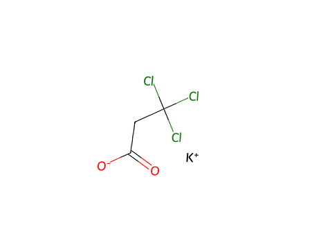 O=C([O-])CC(Cl)(Cl)Cl.[K+]